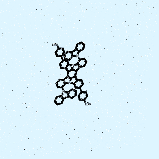 CC(C)(C)c1ccc(-c2ccc3c4c5c6cccc(-n7c8ccccc8c8ccccc87)c6n6c7cc(-c8ccc(C(C)(C)C)cc8)ccc7c(c7c8cccc(-n9c%10ccccc%10c%10ccccc%109)c8n(c3c2)c47)c56)cc1